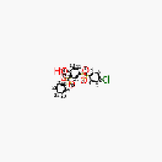 O=S(=O)(c1ccc(Cl)cc1)c1ccc(O)c(S(=O)(=O)c2ccccc2)c1